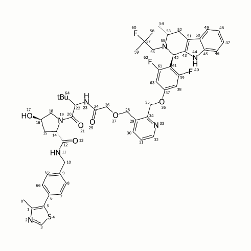 Cc1ncsc1-c1ccc(CNC(=O)[C@@H]2C[C@@H](O)CN2C(=O)C(NC(=O)COCc2cccnc2COc2cc(F)c([C@@H]3c4[nH]c5ccccc5c4C[C@@H](C)N3CC(C)(C)F)c(F)c2)C(C)(C)C)cc1